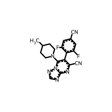 CC1CCN(c2c(-c3c(F)cc(C#N)cc3F)c(C#N)nc3ncnn23)CC1